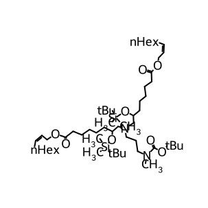 CCCCCC/C=C\COC(=O)CCCCCC(CN(CCCN(C)C(=O)OC(C)(C)C)CC(CCCCCC(=O)OC/C=C\CCCCCC)O[Si](C)(C)C(C)(C)C)O[Si](C)(C)C(C)(C)C